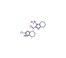 Nc1c2c(nn1C(=O)[C@@H]1CCCc3[nH]c(Cl)cc31)CCCC2